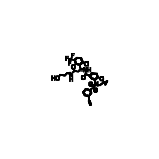 C#Cc1cccc(S(=O)(=O)N2CC3(CC3)Oc3ccc(C(=O)N[C@@H](CC(=O)NCCCO)c4cc(C(F)(F)F)ccc4Cl)cc32)c1